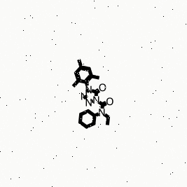 CCN(C(=O)n1nnn(-c2c(C)cc(C)cc2C)c1=O)C1CCCCC1